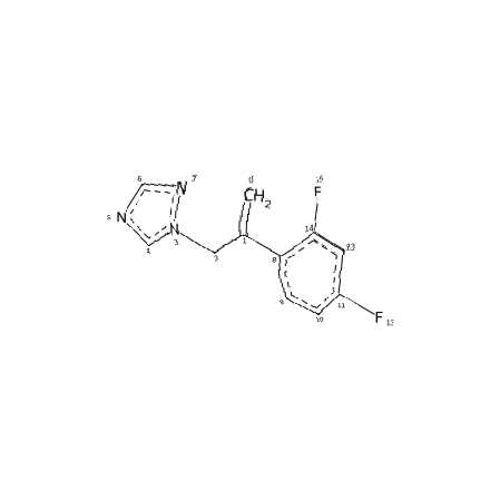 C=C(Cn1cncn1)c1ccc(F)cc1F